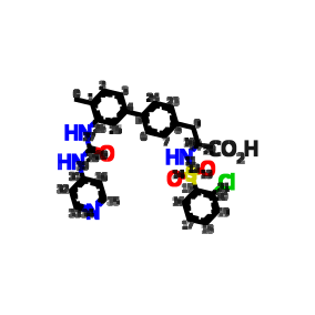 Cc1ccc(-c2ccc(C[C@H](NS(=O)(=O)c3ccccc3Cl)C(=O)O)cc2)cc1NC(=O)Nc1ccncc1